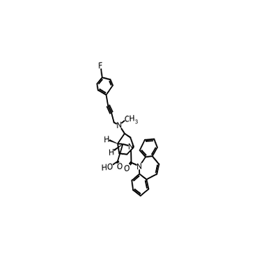 CN(CC#Cc1ccc(F)cc1)C1CC2CC[C@H]1[C@@H](C(=O)O)N2C(=O)N1c2ccccc2C=Cc2ccccc21